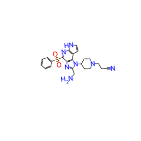 N#CCCN1CCC(n2c(CN)nc3c(S(=O)(=O)c4ccccc4)nc4[nH]ccc4c32)CC1